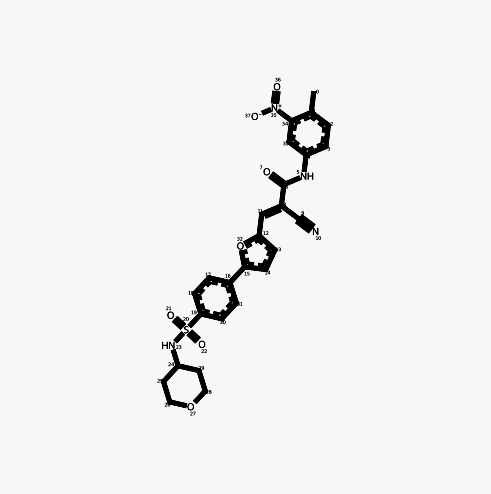 Cc1ccc(NC(=O)/C(C#N)=C/c2ccc(-c3ccc(S(=O)(=O)NC4CCOCC4)cc3)o2)cc1[N+](=O)[O-]